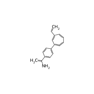 C=CC1=CC(c2ccc(C(=C)N)cc2)=C=CC=C1